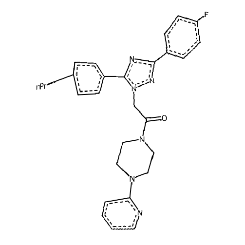 CCCc1ccc(-c2nc(-c3ccc(F)cc3)nn2CC(=O)N2CCN(c3ccccn3)CC2)cc1